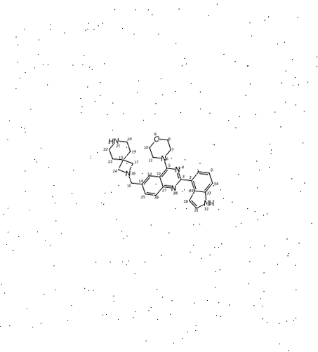 c1cc(-c2nc(N3CCOCC3)c3cc(CN4CC5(CCNCC5)C4)ccc3n2)c2cc[nH]c2c1